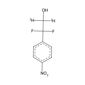 [2H]C([2H])(O)C(F)(F)c1ccc([N+](=O)[O-])cc1